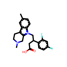 Cc1ccc2c(c1)c1c(n2CC(CC(=O)O)c2ccc(F)cc2F)CN(C)CC1